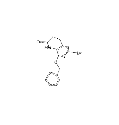 O=C1CCc2cc(Br)cc(OCc3ccccc3)c2N1